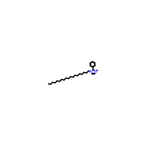 CCCCCCCCCCCCCCCCCCCN1C=CN(C)C1c1ccccc1